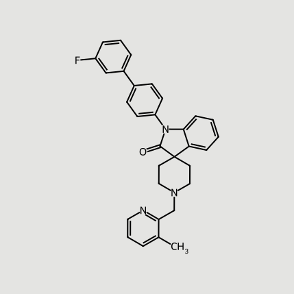 Cc1cccnc1CN1CCC2(CC1)C(=O)N(c1ccc(-c3cccc(F)c3)cc1)c1ccccc12